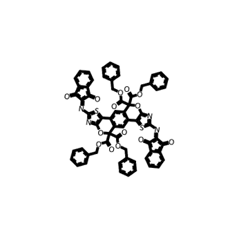 O=C(OCc1ccccc1)C1(C(=O)OCc2ccccc2)Oc2nc(N=c3c(=O)c4ccccc4c3=O)sc2-c2cc3c(cc21)-c1sc(N=c2c(=O)c4ccccc4c2=O)nc1OC3(C(=O)OCc1ccccc1)C(=O)OCc1ccccc1